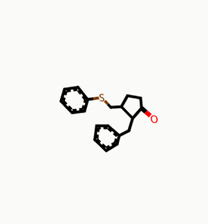 O=C1CCC(CSc2ccccc2)C1Cc1ccccc1